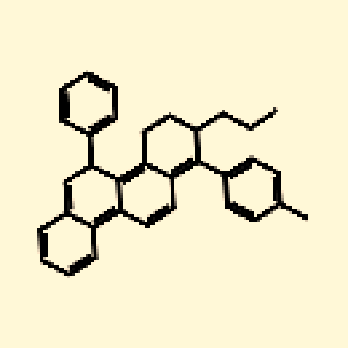 Cc1ccc(C2=c3ccc4c(c3CCC2CCF)C(c2ccccc2)C=c2ccccc2=4)cc1